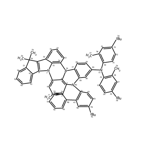 Cc1cc2c3c(c1)-n1c4c(c5cccc(c51)B3c1ccc(N(c3ccc(C(C)(C)C)cc3C)c3ccc(C(C)(C)C)cc3C)cc1N2c1ccc(C(C)(C)C)cc1-c1ccccc1)C(C)(C)c1ccccc1-4